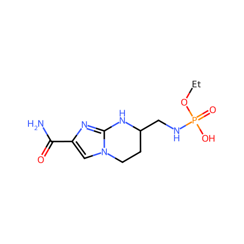 CCOP(=O)(O)NCC1CCn2cc(C(N)=O)nc2N1